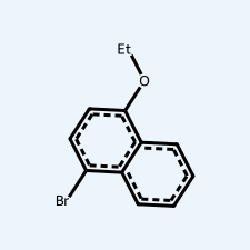 CCOc1ccc(Br)c2ccccc12